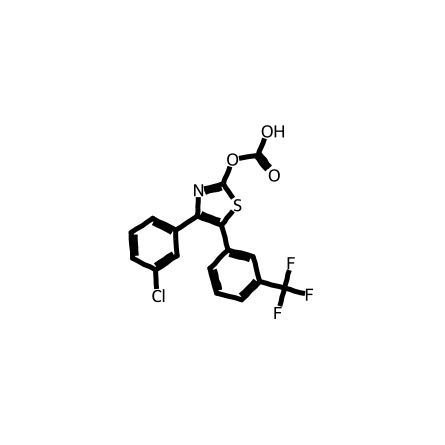 O=C(O)Oc1nc(-c2cccc(Cl)c2)c(-c2cccc(C(F)(F)F)c2)s1